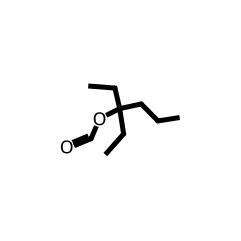 CCCC(CC)(CC)OC=O